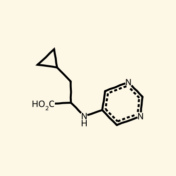 O=C(O)C(CC1CC1)Nc1cncnc1